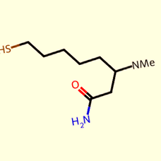 CNC(CCCCCS)CC(N)=O